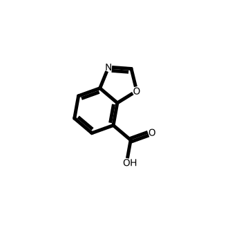 O=C(O)c1cccc2ncoc12